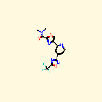 CN(C)C(=O)c1nc(-c2cc(-c3noc(C(F)(F)F)n3)ccn2)co1